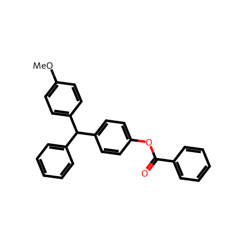 COc1ccc(C(c2ccccc2)c2ccc(OC(=O)c3ccccc3)cc2)cc1